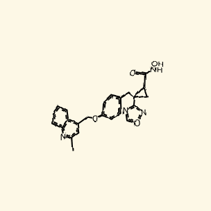 Cc1cc(COc2ccc(C[C@]3(c4ncon4)CC3C(=O)NO)cc2)c2ccccc2n1